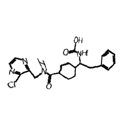 O=C(O)NC(Cc1ccccc1)C1CCC(C(=O)NCc2nccnc2Cl)CC1